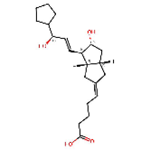 O=C(O)CCCC=C1C[C@H]2C[C@@H](O)[C@H](C=C[C@@H](O)C3CCCC3)[C@H]2C1